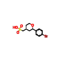 O=S(=O)(O)CC1CCOC(c2ccc(Br)cc2)C1